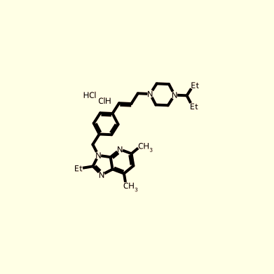 CCc1nc2c(C)cc(C)nc2n1Cc1ccc(C=CCN2CCN(C(CC)CC)CC2)cc1.Cl.Cl